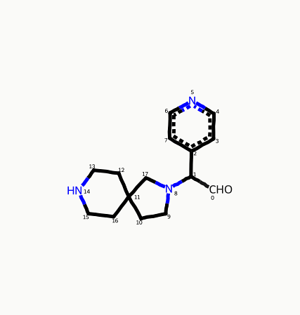 O=CC(c1ccncc1)N1CCC2(CCNCC2)C1